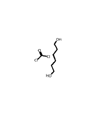 O=C(Cl)Cl.OCCCCCCO